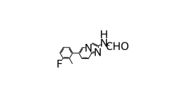 Cc1c(F)cccc1-c1ccc2nc(NC=O)cn2c1